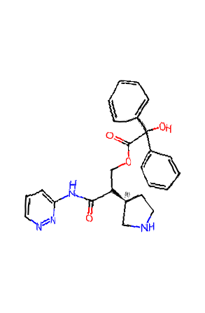 O=C(Nc1cccnn1)C(COC(=O)C(O)(c1ccccc1)c1ccccc1)[C@H]1CCNC1